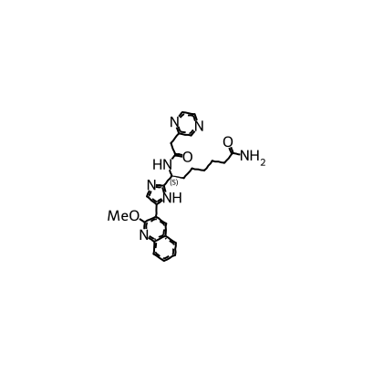 COc1nc2ccccc2cc1-c1cnc([C@H](CCCCCC(N)=O)NC(=O)Cc2cnccn2)[nH]1